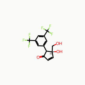 O=C1C=C[C@@](O)(CO)C1c1cc(C(F)(F)F)cc(C(F)(F)F)c1